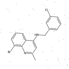 Cc1cc(NCc2cccc(Cl)c2)c2cccc(Br)c2n1